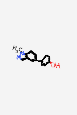 Cn1ncc2cc(-c3ccc(O)cc3)ccc21